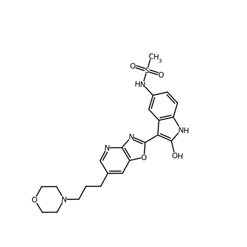 CS(=O)(=O)Nc1ccc2[nH]c(O)c(-c3nc4ncc(CCCN5CCOCC5)cc4o3)c2c1